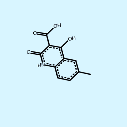 Cc1ccc2[nH]c(=O)c(C(=O)O)c(O)c2c1